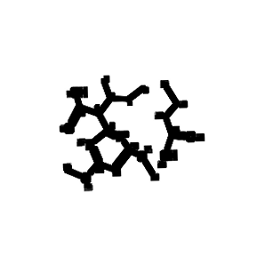 CCC(C)C(C(=O)O)c1nc(OC)cc(OC)n1.CCCC(=O)O